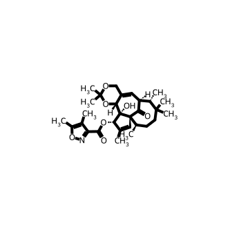 CC1=C[C@]23C(=O)[C@@H](C=C4COC(C)(C)O[C@H]4[C@]2(O)[C@H]1OC(=O)c1noc(C)c1C)[C@H](C)C(C)(C)CC[C@H]3C